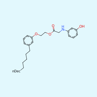 CCCCCCCCCCCCCCCc1cccc(OCCOC(=O)CNc2cccc(O)c2)c1